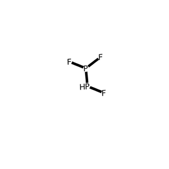 FPP(F)F